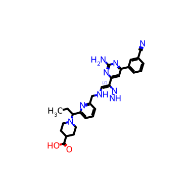 CCC(c1cccc(CN/C=C(\N=N)c2cc(-c3cccc(C#N)c3)nc(N)n2)n1)N1CCC(C(=O)O)CC1